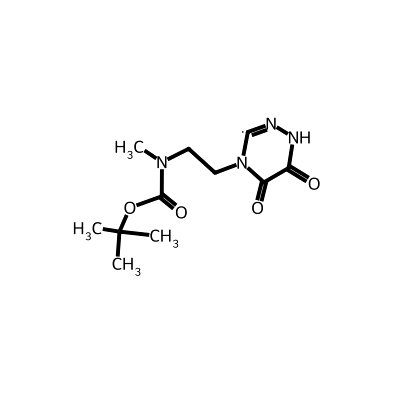 CN(CCn1[c]n[nH]c(=O)c1=O)C(=O)OC(C)(C)C